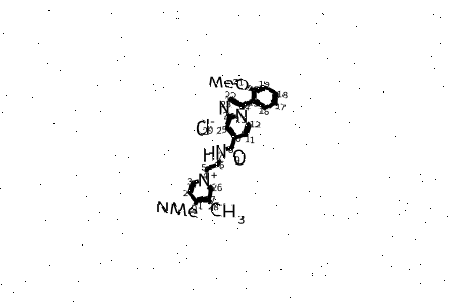 CNc1cc[n+](CCNC(=O)c2ccn3c(-c4ccccc4OC)cnc3c2)cc1C.[Cl-]